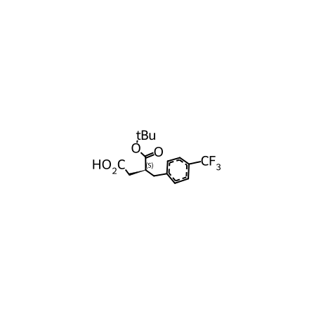 CC(C)(C)OC(=O)[C@H](CC(=O)O)Cc1ccc(C(F)(F)F)cc1